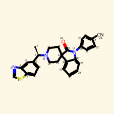 C[C@H](c1ccc2scnc2c1)N1CCC2(CC1)C(=O)N(c1ccc(C#N)cc1)c1ccccc12